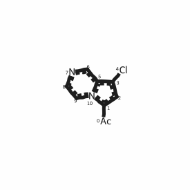 CC(=O)c1cc(Cl)c2cnccn12